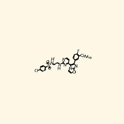 COc1cc(-c2nc3occn3c2-c2ccnc(NCCNS(=O)(=O)c3ccc(Cl)cc3)n2)ccc1F